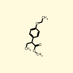 CCOc1ccc(C(CC)C(=O)OC)cc1